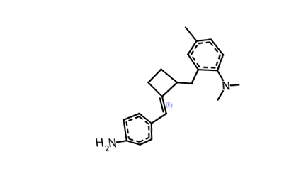 Cc1ccc(N(C)C)c(CC2CC/C2=C\c2ccc(N)cc2)c1